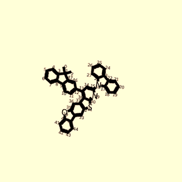 CC1(C)c2ccccc2-c2ccc(-c3cc(-n4c5ccccc5c5ccccc54)nc4sc5cc6c(cc5c34)oc3ccccc36)cc21